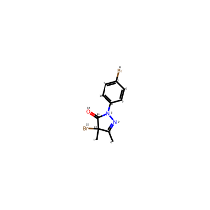 CC1=NN(c2ccc(Br)cc2)C(=O)C1(C)Br